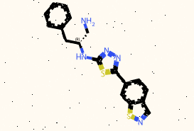 NC[C@@H](Cc1ccccc1)Nc1nnc(-c2ccc3cnsc3c2)s1